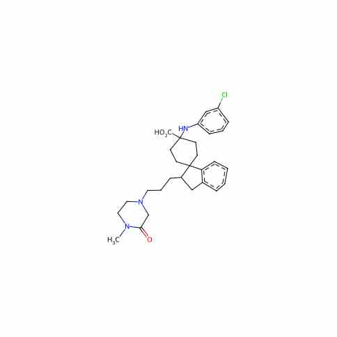 CN1CCN(CCCC2Cc3ccccc3C23CCC(Nc2cccc(Cl)c2)(C(=O)O)CC3)CC1=O